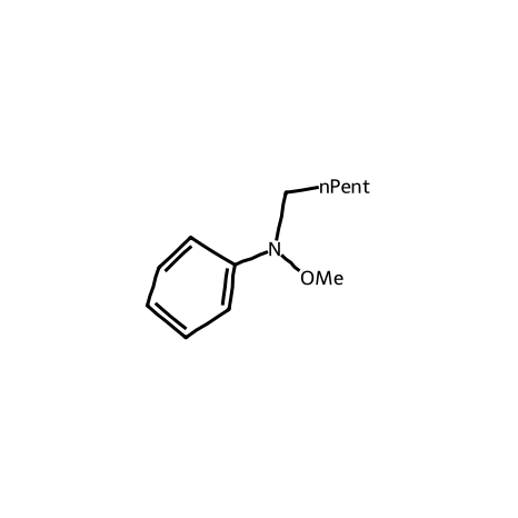 CCCCCCN(OC)c1ccccc1